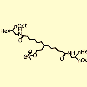 CCCCCCCCC(CCCCCC)CNC(=O)CCCCCC(CCCCCC(=O)NCC(CCCCCC)CCCCCCCC)CCOS(C)(=O)=O